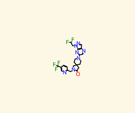 O=C1CC2(CCN(c3cnc4cnn(CC(F)F)c4n3)CC2)CN1Cc1ccc(C(F)(F)F)cn1